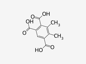 Cc1c(C(=O)O)cc(C(=O)O)c(C(=O)O)c1C